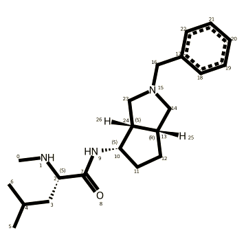 CN[C@@H](CC(C)C)C(=O)N[C@H]1CC[C@H]2CN(Cc3ccccc3)C[C@H]21